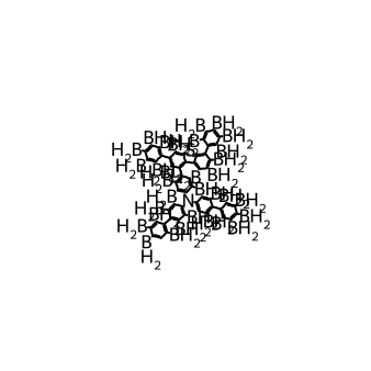 Bc1cc(B)c(-c2c(B)cc(N(c3cc(B)c(-c4c(B)c(B)c(B)c(B)c4B)c(B)c3)c3c(B)cc(-c4c(B)c(-c5c(B)c(B)c(B)c(B)c5B)c(B)c5sc6c(-c7c(B)c(B)c(B)c(B)c7B)c(B)c(B)c(B)c6c45)c(B)c3B)c(B)c2B)c(B)c1B